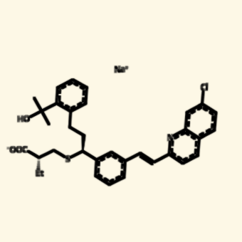 CC[C@@H](CS[C@@H](CCc1ccccc1C(C)(C)O)c1cccc(C=Cc2ccc3ccc(Cl)cc3n2)c1)C(=O)[O-].[Na+]